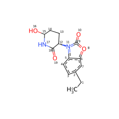 CCc1ccc2c(c1)oc(=O)n2[C@@H]1CCC(O)NC1=O